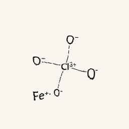 [Fe+].[O-][Cl+3]([O-])([O-])[O-]